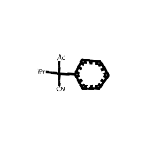 CC(=O)C(C#N)(c1ccccc1)C(C)C